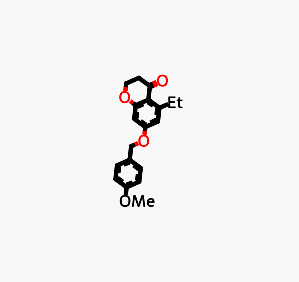 CCc1cc(OCc2ccc(OC)cc2)cc2c1C(=O)CCO2